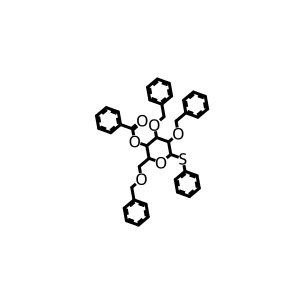 O=C(OC1C(COCc2ccccc2)OC(Sc2ccccc2)C(OCc2ccccc2)C1OCc1ccccc1)c1ccccc1